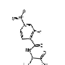 CC(NC(=O)c1ccc([N+](=O)[O-])cc1F)C(=O)O